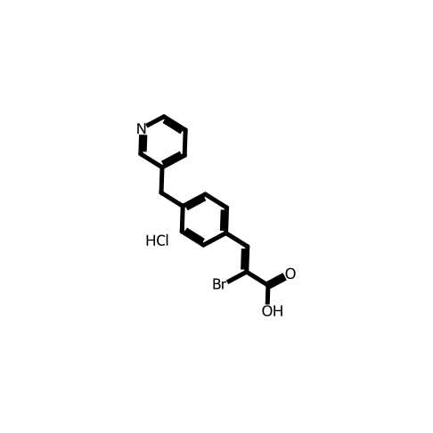 Cl.O=C(O)C(Br)=Cc1ccc(Cc2cccnc2)cc1